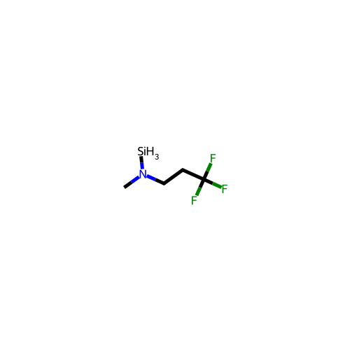 CN([SiH3])CCC(F)(F)F